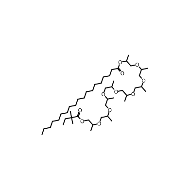 CCCCCCCCCCCCCCCCCCC(=O)OC(C)COC(C)COC(C)COC(C)COC(C)COC(C)COC(C)COC(C)COC(=O)C(C)(C)CC